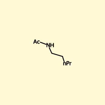 [CH2]C(=O)NCCCCC